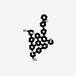 CC(C)(C)c1ccnc(-c2ccc(-c3ccccc3-c3cc(-c4ccccc4-c4ccc(-c5cc(C(C)(C)C)ccn5)cc4)cc(-c4ccccc4-c4ccc(-c5ccccn5)cc4-c4ccc(-c5ccc6c(c5)oc5ccccc56)cc4)c3)cc2)c1